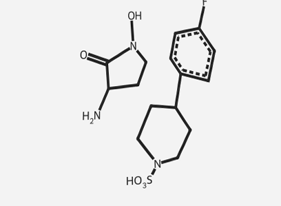 NC1CCN(O)C1=O.O=S(=O)(O)N1CCC(c2ccc(F)cc2)CC1